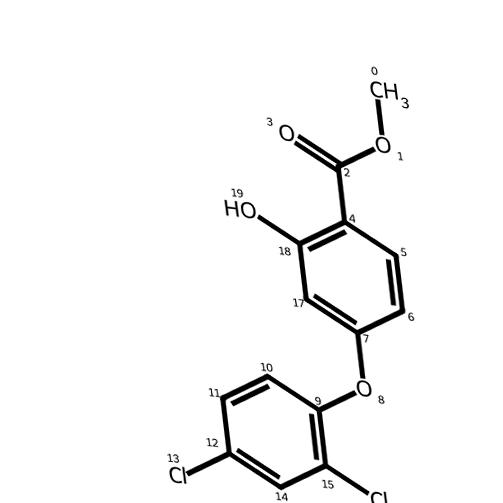 COC(=O)c1ccc(Oc2ccc(Cl)cc2Cl)cc1O